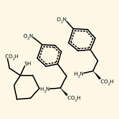 N[C@@H](Cc1ccc([N+](=O)[O-])cc1)C(=O)O.N[C@@H](Cc1ccc([N+](=O)[O-])cc1)C(=O)O.O=C(O)CC1(S)CCCCC1